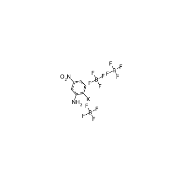 F[B-](F)(F)F.F[B-](F)(F)F.F[B-](F)(F)F.Nc1cc([N+](=O)[O-])cc[c]1[K]